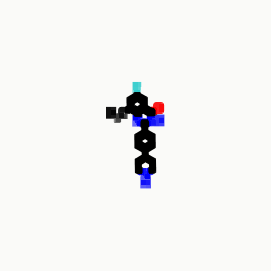 Cc1cc(F)cc2c(=O)[nH]c(-c3ccc(C4CCNCC4)cc3)nc12